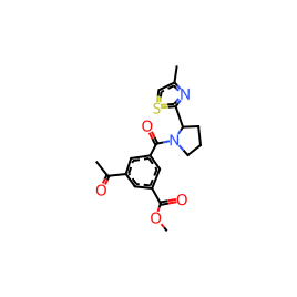 COC(=O)c1cc(C(C)=O)cc(C(=O)N2CCCC2c2nc(C)cs2)c1